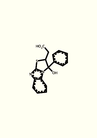 O=C(O)CC1Sc2nc3ccccc3n2C1(O)c1ccccc1